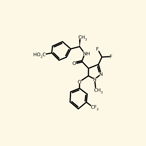 C[C@@H](NC(=O)C1C(C(F)F)=NN(C)C1Oc1cccc(C(F)(F)F)c1)c1ccc(C(=O)O)cc1